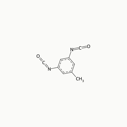 Cc1cc(N=C=O)cc(N=C=O)c1